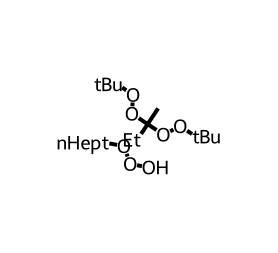 CCC(C)(OOC(C)(C)C)OOC(C)(C)C.CCCCCCCOOO